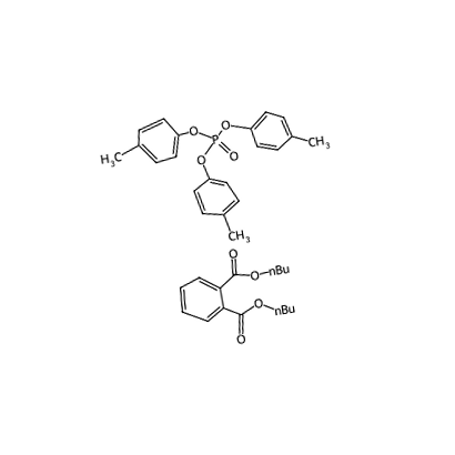 CCCCOC(=O)c1ccccc1C(=O)OCCCC.Cc1ccc(OP(=O)(Oc2ccc(C)cc2)Oc2ccc(C)cc2)cc1